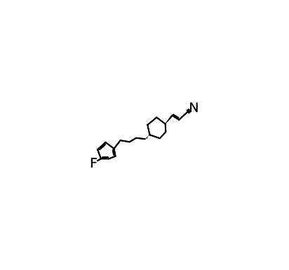 N#CC=C[C@H]1CC[C@H](CCCCc2ccc(F)cc2)CC1